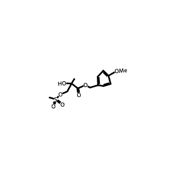 COc1ccc(COC(=O)C(C)(O)COS(C)(=O)=O)cc1